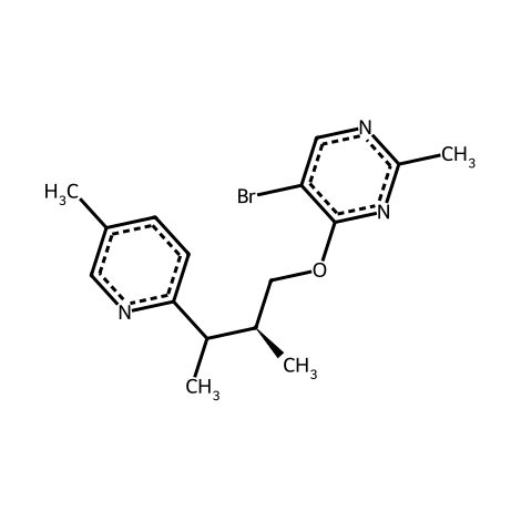 Cc1ccc(C(C)[C@H](C)COc2nc(C)ncc2Br)nc1